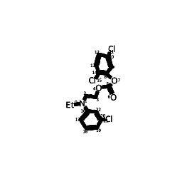 CCN(CCOC(=O)Oc1cc(Cl)ccc1Cl)c1cccc(Cl)c1